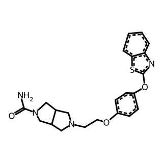 NC(=O)N1CC2CN(CCOc3ccc(Oc4nc5ccccc5s4)cc3)CC2C1